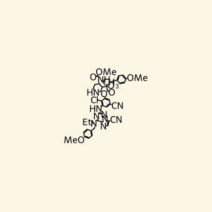 CCN(Cc1ccc(OC)cc1)c1nc(Nc2cc(C#N)cc(OC(=O)C(C)(OCc3ccc(OC)cc3)C3CNCCC3NC(=O)OC)c2Cl)nn2c(C#N)cnc12